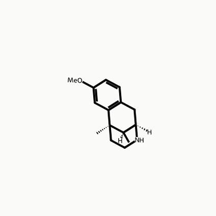 COc1ccc2c(c1)[C@]1(C)CCN[C@H](C2)[C@H]1C